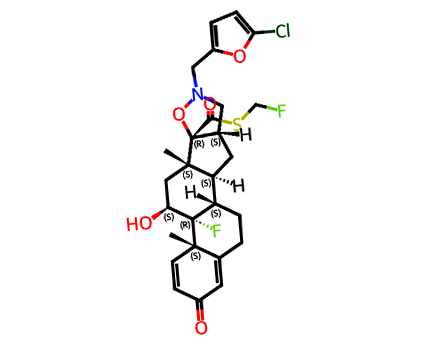 C[C@]12C=CC(=O)C=C1CC[C@H]1[C@@H]3C[C@H]4CN(Cc5ccc(Cl)o5)O[C@@]4(C(=O)SCF)[C@@]3(C)C[C@H](O)[C@@]12F